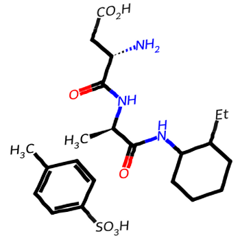 CCC1CCCCC1NC(=O)[C@@H](C)NC(=O)[C@@H](N)CC(=O)O.Cc1ccc(S(=O)(=O)O)cc1